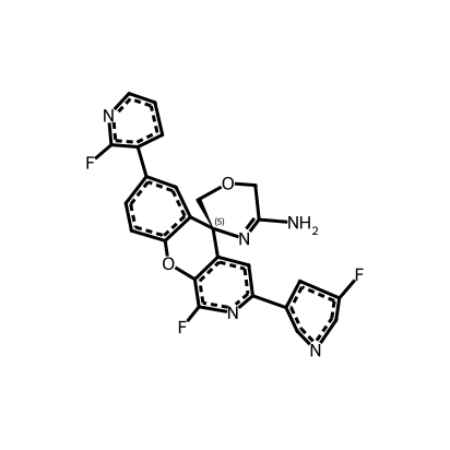 NC1=N[C@@]2(COC1)c1cc(-c3cccnc3F)ccc1Oc1c2cc(-c2cncc(F)c2)nc1F